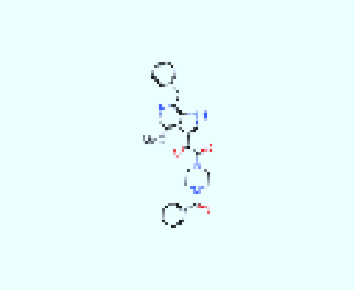 COc1cnc(Cc2ccccc2)c2[nH]cc(C(=O)C(=O)N3CCN(C(=O)c4ccccc4)CC3)c12